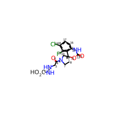 O=C(O)NNCC(=O)N1CC[C@@]2(C1)OC(=O)Nc1ccc(Cl)c(F)c12